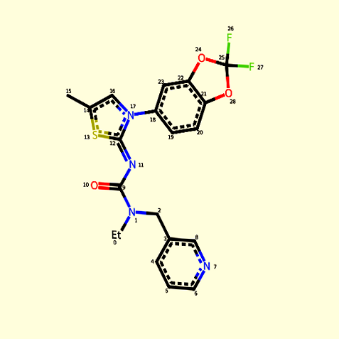 CCN(Cc1cccnc1)C(=O)/N=c1\sc(C)cn1-c1ccc2c(c1)OC(F)(F)O2